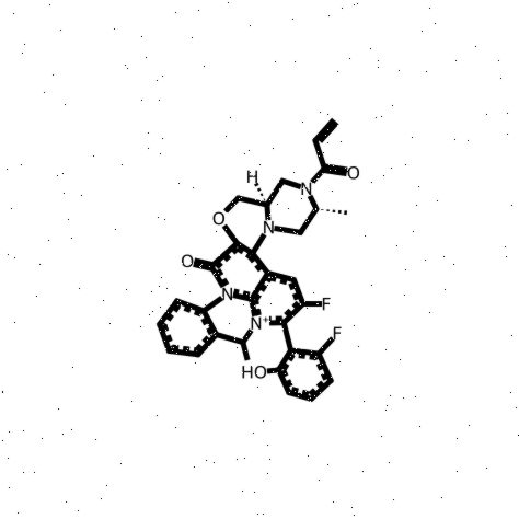 C=CC(=O)N1C[C@@H]2COc3c(c4cc(F)c(-c5c(O)cccc5F)[n+]5c4n(c3=O)-c3ccccc3C5C)N2C[C@H]1C